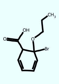 CCCOC1(Br)C=CC=CC1C(=O)O